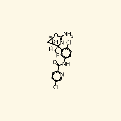 NC1=N[C@](CF)(c2cc(NC(=O)c3ccc(Cl)cn3)ccc2Cl)[C@H]2C[C@H]2O1